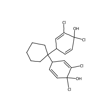 OC1(Cl)C=CC(C2(C3C=CC(O)(Cl)C(Cl)=C3)CCCCC2)C=C1Cl